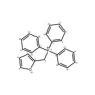 c1ccc([PH](Cc2ccco2)(c2ccccc2)c2ccccc2)cc1